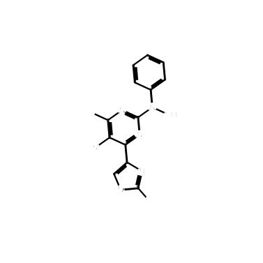 Cc1nc(-c2nc(N(C)c3ccccc3)nc(C(C)C)c2[N+](=O)[O-])c[nH]1